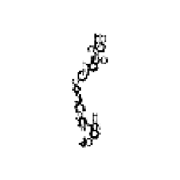 CC1(Oc2ccc3n[nH]c(-c4cc(N5CCC6(CC5)CN([C@H]5C[C@H](OC7CCN(c8ccc9c(c8F)CN(C8CCC(=O)NC8=O)C9=O)CC7)C5)C6)ncn4)c3c2)CC1